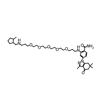 Cc1nn(-c2ccc(C(N)=O)c(NCCCOCCOCCOCCOCCOCCCNCC3CCCC3C)c2)c2c1C(=O)CC(C)(C)C2